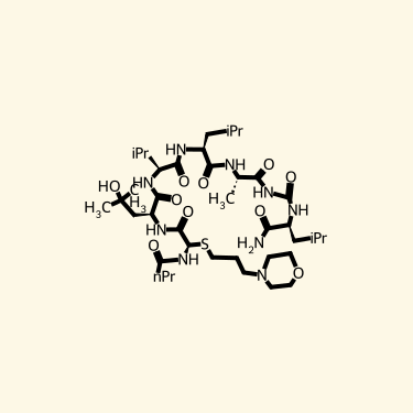 CCCC(=O)N[C@H](SCCCN1CCOCC1)C(=O)N[C@@H](CC(C)(C)O)C(=O)N[C@H](C(=O)N[C@@H](CC(C)C)C(=O)N[C@@H](C)C(=O)NC(=O)N[C@@H](CC(C)C)C(N)=O)C(C)C